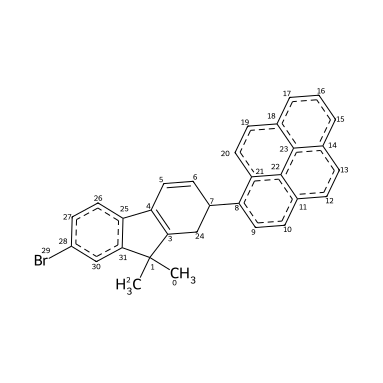 CC1(C)C2=C(C=CC(c3ccc4ccc5cccc6ccc3c4c56)C2)c2ccc(Br)cc21